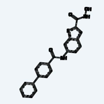 O=C(Nc1ccc2cc(C(=O)NO)sc2c1)c1ccc(-c2ccccc2)cc1